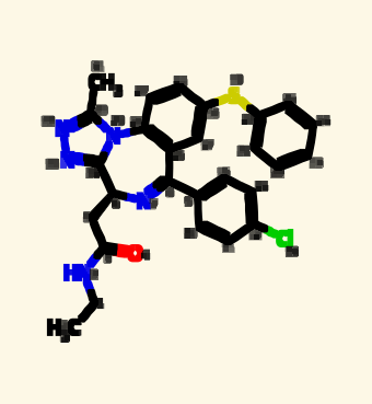 CCNC(=O)C[C@@H]1N=C(c2ccc(Cl)cc2)c2cc(Sc3ccccc3)ccc2-n2c(C)nnc21